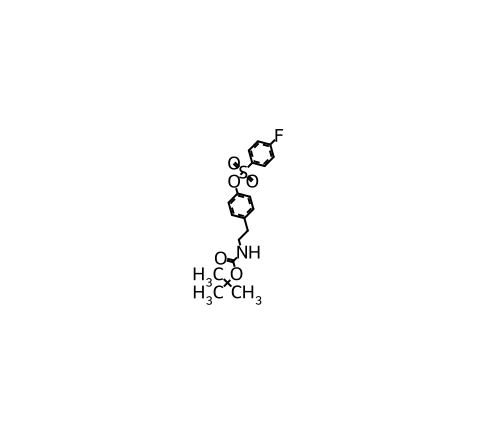 CC(C)(C)OC(=O)NCCc1ccc(OS(=O)(=O)c2ccc(F)cc2)cc1